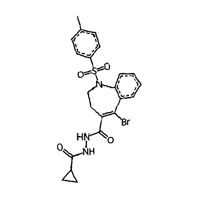 Cc1ccc(S(=O)(=O)N2CCC(C(=O)NNC(=O)C3CC3)=C(Br)c3ccccc32)cc1